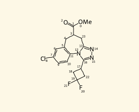 COC(=O)C1Cc2cc(Cl)ccc2-n2c(nnc2C2CC(F)(F)C2)C1